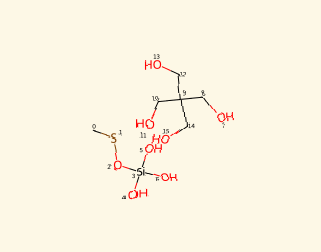 CSO[Si](O)(O)O.OCC(CO)(CO)CO